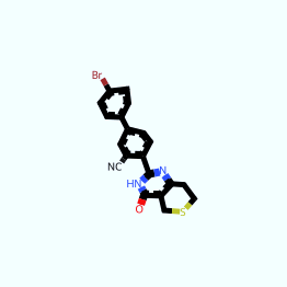 N#Cc1cc(-c2ccc(Br)cc2)ccc1-c1nc2c(c(=O)[nH]1)CSCC2